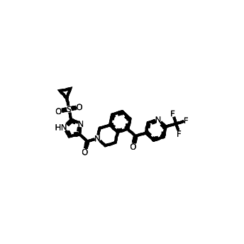 O=C(c1ccc(C(F)(F)F)nc1)c1cccc2c1CCN(C(=O)c1c[nH]c(S(=O)(=O)C3CC3)n1)C2